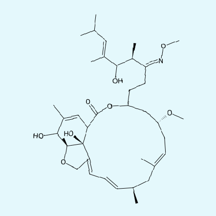 CO/N=C(/CCC1C[C@H](OC)C/C=C(\C)C[C@@H](C)/C=C/C=C2\CO[C@]3(C)C(O)C(C)=CC(C(=O)O1)[C@]23O)[C@H](C)C(O)/C(C)=C/C(C)C